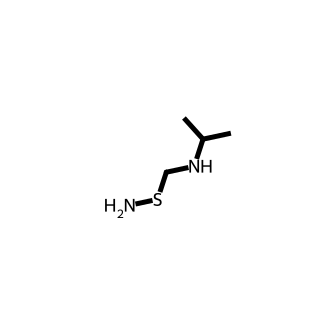 CC(C)NCSN